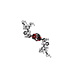 C=CCOC(=O)N[C@@H](CCSC)C(=O)N1CCC[C@H]1c1nc(-c2ccc(-c3cc4ccc3CCc3ccc(c(-c5ccc(-c6c[nH]c([C@@H]7CCCN7C(=O)[C@H](CCSC)NC(=O)OCC=C)n6)cc5)c3)CC4)cc2)c[nH]1